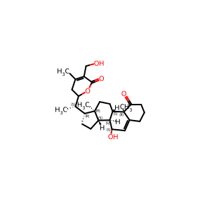 CC1=C(CO)C(=O)OC([C@@H](C)[C@H]2CC[C@H]3[C@@H]4[C@H](O)C=C5CCCC(=O)[C@]5(C)[C@H]4CC[C@]23C)C1